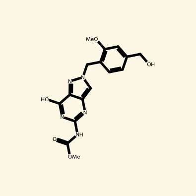 COC(=O)Nc1nc(O)c2nn(Cc3ccc(CO)cc3OC)cc2n1